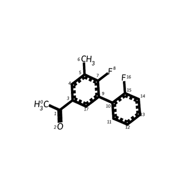 CC(=O)c1cc(C)c(F)c(-c2ccccc2F)c1